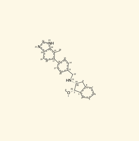 CO[C@H]1c2ccccc2C[C@H]1NCc1ccc(-c2ccc3nc[nH]c3c2C)cc1